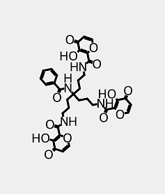 O=C(NC(CCCNC(=O)c1occc(=O)c1O)(CCCNC(=O)c1occc(=O)c1O)CCCNC(=O)c1occc(=O)c1O)c1ccccc1